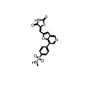 CNS(=O)(=O)c1ccc(-c2cncc3cc(/C=C4\SC(=S)NC4=O)oc23)cc1